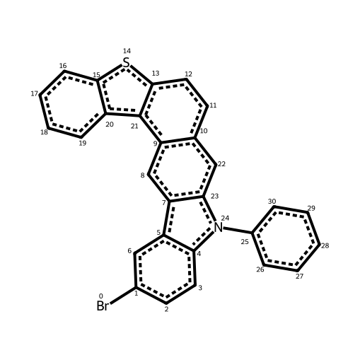 Brc1ccc2c(c1)c1cc3c(ccc4sc5ccccc5c43)cc1n2-c1ccccc1